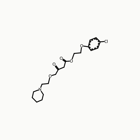 O=C(COCCN1CCCCC1)CC(=O)OCCOc1ccc(Cl)cc1